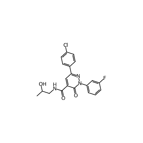 CC(O)CNC(=O)c1cc(-c2ccc(Cl)cc2)nn(-c2cccc(F)c2)c1=O